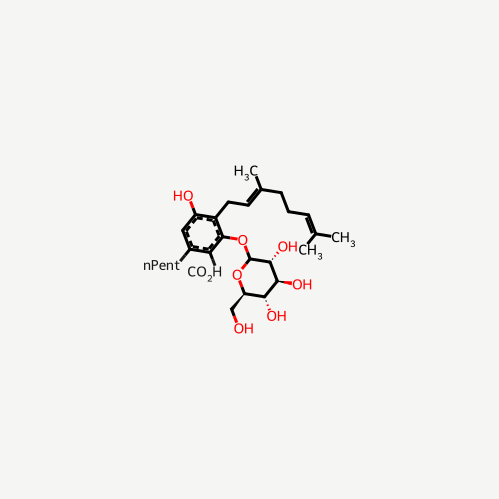 CCCCCc1cc(O)c(C/C=C(\C)CCC=C(C)C)c(OC2O[C@H](CO)[C@@H](O)[C@H](O)[C@H]2O)c1C(=O)O